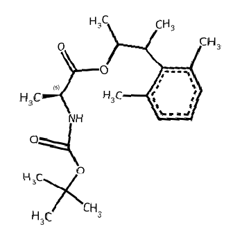 Cc1cccc(C)c1C(C)C(C)OC(=O)[C@H](C)NC(=O)OC(C)(C)C